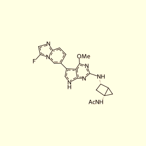 COc1nc(N[C@H]2C[C@]3(NC(C)=O)CC23)nc2[nH]cc(-c3ccc4ncc(F)n4c3)c12